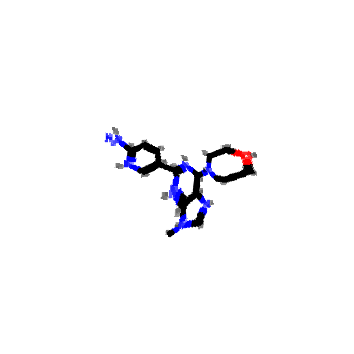 Cn1cnc2c(N3CCOCC3)nc(-c3ccc(N)nc3)nc21